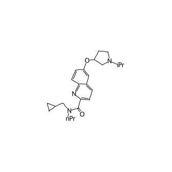 CCCN(CC1CC1)C(=O)c1ccc2cc(OC3CCN(C(C)C)C3)ccc2n1